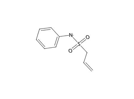 C=CCS(=O)(=O)[N]c1ccccc1